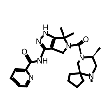 C[C@H]1CN(C)C2(CCCC2)CN1C(=O)N1Cc2c(NC(=O)c3ccccn3)n[nH]c2C1(C)C